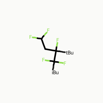 CCC(C)C(F)(F)C(F)(CC(F)F)C(C)(C)C